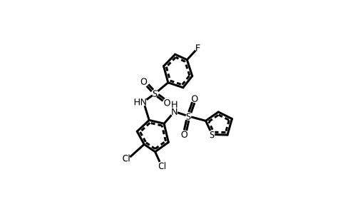 O=S(=O)(Nc1cc(Cl)c(Cl)cc1NS(=O)(=O)c1cccs1)c1ccc(F)cc1